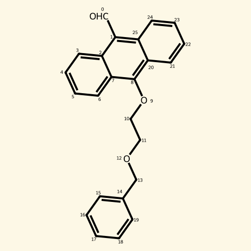 O=Cc1c2ccccc2c(OCCOCc2ccccc2)c2ccccc12